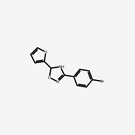 Brc1ccc(C2=NOC(c3ccco3)N2)cc1